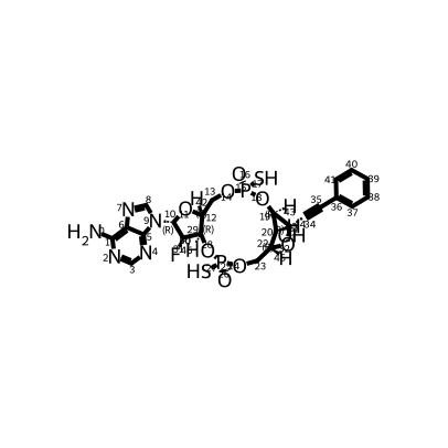 Nc1ncnc2c1ncn2[C@@H]1O[C@@H]2COP(=O)(S)O[C@@H]3[C@H](O)[C@@H](COP(=O)(S)O[C@H]2[C@H]1F)O[C@H]3C#Cc1ccccc1